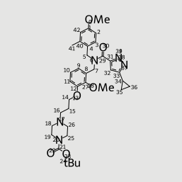 COc1ccc(CN(Cc2cccc(OCCCN3CCN(C(=O)OC(C)(C)C)CC3)c2OC)C(=O)c2cc(C3CC3)nn2C)c(C)c1